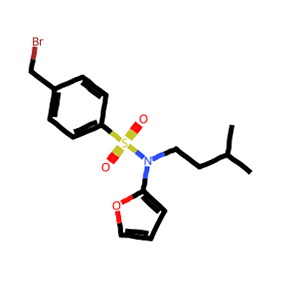 CC(C)CCN(c1ccco1)S(=O)(=O)c1ccc(CBr)cc1